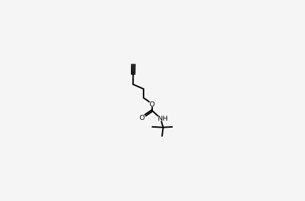 C#CCCCOC(=O)NC(C)(C)C